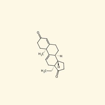 CC[C@]12CC=C3[C@@H](CCC4=CC(=O)CC[C@@]43C)[C@@H]1CCC2=O